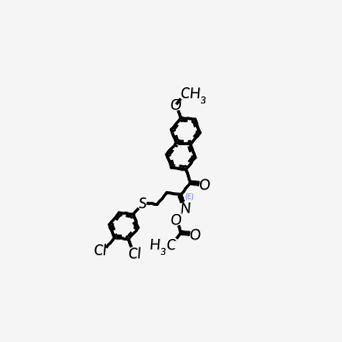 COc1ccc2cc(C(=O)/C(CCSc3ccc(Cl)c(Cl)c3)=N/OC(C)=O)ccc2c1